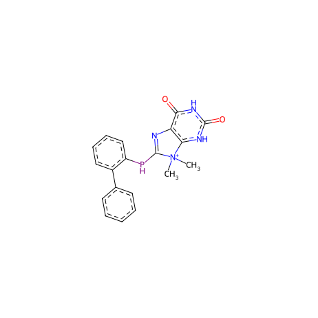 C[N+]1(C)C(Pc2ccccc2-c2ccccc2)=Nc2c1[nH]c(=O)[nH]c2=O